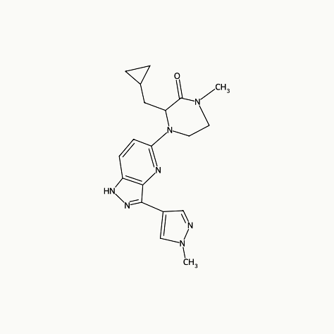 CN1CCN(c2ccc3[nH]nc(-c4cnn(C)c4)c3n2)C(CC2CC2)C1=O